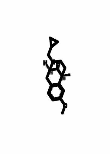 COc1ccc2c(c1)[C@@]1(C)CCN(CC3CC3)[C@H](C2)C1=O